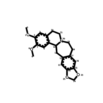 COc1cc2c(cc1OC)C1Cc3cc4c(cc3CCN1CC2)OCO4